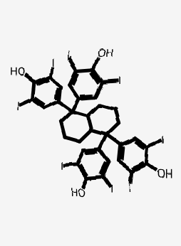 Oc1c(I)cc(C2(c3cc(I)c(O)c(I)c3)CCCC3C2CCCC3(c2cc(I)c(O)c(I)c2)c2cc(I)c(O)c(I)c2)cc1I